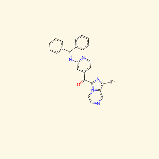 CC(C)c1nc(C(=O)c2ccnc(N=C(c3ccccc3)c3ccccc3)c2)n2ccncc12